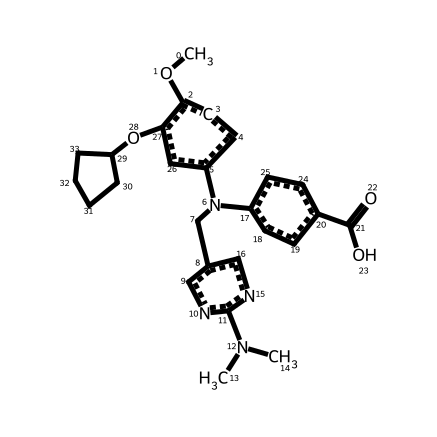 COc1ccc(N(Cc2cnc(N(C)C)nc2)c2ccc(C(=O)O)cc2)cc1OC1CCCC1